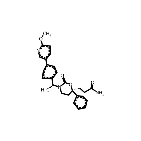 COc1ccc(-c2ccc([C@H](C)N3CC[C@](CCC(N)=O)(c4ccccc4)OC3=O)cc2)cn1